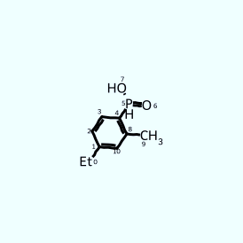 CCc1ccc([PH](=O)O)c(C)c1